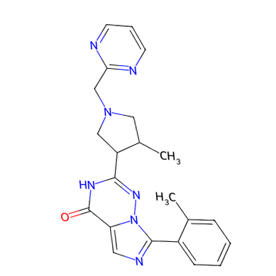 Cc1ccccc1-c1ncc2c(=O)[nH]c(C3CN(Cc4ncccn4)CC3C)nn12